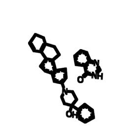 O=c1[nH]cnc2ccccc12.OC1(c2ccccc2)CCN(c2ccc3c4c(ccc3c2)C2=C(CCC=C2)CC4)CC1